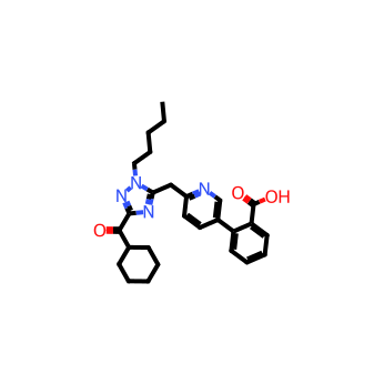 CCCCCn1nc(C(=O)C2CCCCC2)nc1Cc1ccc(-c2ccccc2C(=O)O)cn1